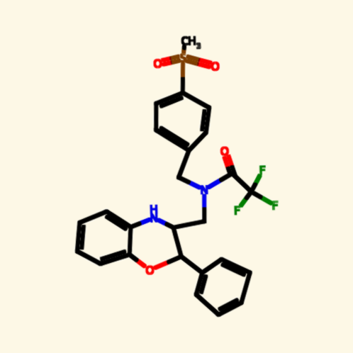 CS(=O)(=O)c1ccc(CN(CC2Nc3ccccc3OC2c2ccccc2)C(=O)C(F)(F)F)cc1